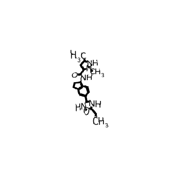 CCC1NC(c2ccc3c(c2)CC[C@H]3NC(=O)C2CC(C)NN2C)NO1